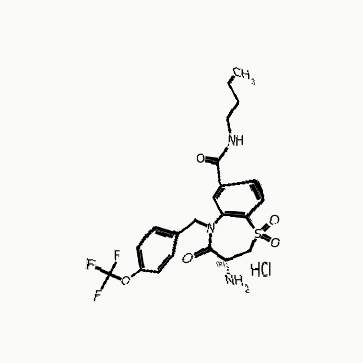 CCCCNC(=O)c1ccc2c(c1)N(Cc1ccc(OC(F)(F)F)cc1)C(=O)[C@@H](N)CS2(=O)=O.Cl